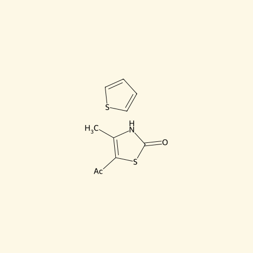 CC(=O)c1sc(=O)[nH]c1C.c1ccsc1